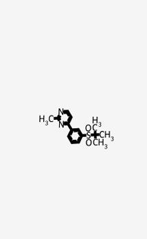 Cc1nccc(-c2cccc(S(=O)(=O)C(C)(C)C)c2)n1